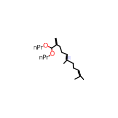 C=C(CC/C=C(\C)CCC=C(C)C)C(OCCC)OCCC